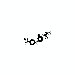 COC(=O)C(=O)Nc1ccc(O[C@H]2CC[C@H](C(=O)OC)CC2)nc1C